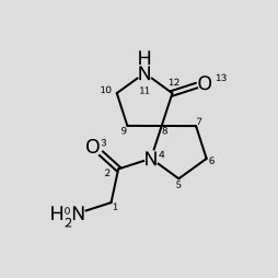 NCC(=O)N1CCCC12CCNC2=O